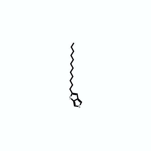 CCCCCCCCCCCCc1cc2cscc2s1